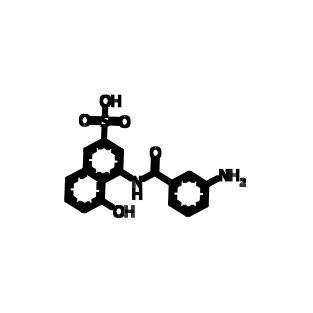 Nc1cccc(C(=O)Nc2cc(S(=O)(=O)O)cc3cccc(O)c23)c1